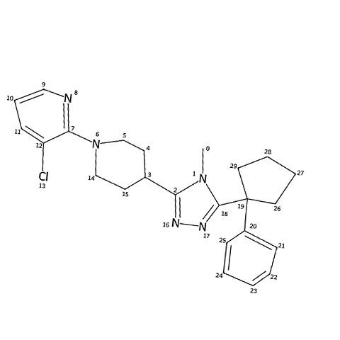 Cn1c(C2CCN(c3ncccc3Cl)CC2)nnc1C1(c2ccccc2)CCCC1